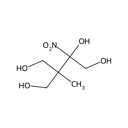 CC(CO)(CO)C(O)(CO)[N+](=O)[O-]